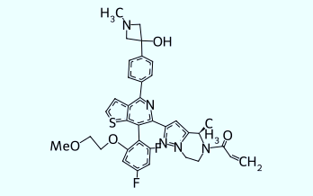 C=CC(=O)N1CCn2nc(-c3nc(-c4ccc(C5(O)CN(C)C5)cc4)c4ccsc4c3-c3c(F)cc(F)cc3OCCOC)cc2[C@H]1C